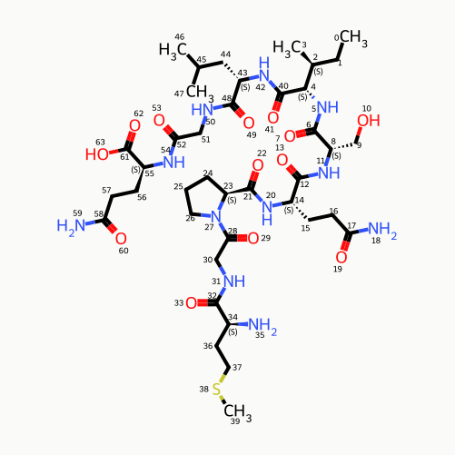 CC[C@H](C)[C@H](NC(=O)[C@H](CO)NC(=O)[C@H](CCC(N)=O)NC(=O)[C@@H]1CCCN1C(=O)CNC(=O)[C@@H](N)CCSC)C(=O)N[C@@H](CC(C)C)C(=O)NCC(=O)N[C@@H](CCC(N)=O)C(=O)O